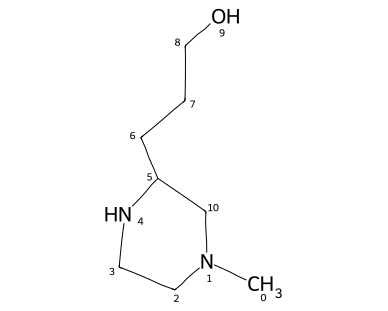 CN1CCNC(CCCO)C1